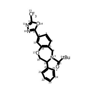 CC(C)(C)C(=O)N1Cc2ccc(-c3nnc(C(F)(F)F)o3)cc2OCC1c1ccccc1